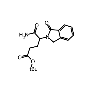 CC(C)(C)OC(=O)CCC(C(N)=O)N1Cc2ccccc2C1=O